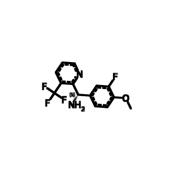 COc1ccc([C@H](N)c2ncccc2C(F)(F)F)cc1F